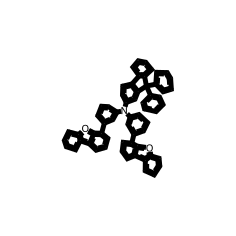 c1ccc(C2(c3ccccc3)c3ccccc3-c3ccc(N(c4cccc(-c5cccc6c5oc5ccccc56)c4)c4cccc(-c5cccc6c5oc5ccccc56)c4)cc32)cc1